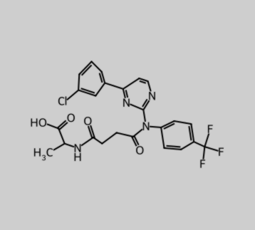 CC(NC(=O)CCC(=O)N(c1ccc(C(F)(F)F)cc1)c1nccc(-c2cccc(Cl)c2)n1)C(=O)O